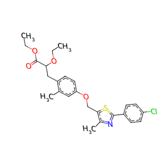 CCOC(=O)C(Cc1ccc(OCc2sc(-c3ccc(Cl)cc3)nc2C)cc1C)OCC